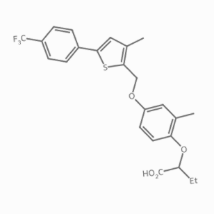 CCC(Oc1ccc(OCc2sc(-c3ccc(C(F)(F)F)cc3)cc2C)cc1C)C(=O)O